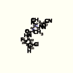 C=N/C=C(\C=C(/C)C(=O)NCc1cc2c(Cl)c[nH]c2cc1F)Cn1cc(C#N)cn1